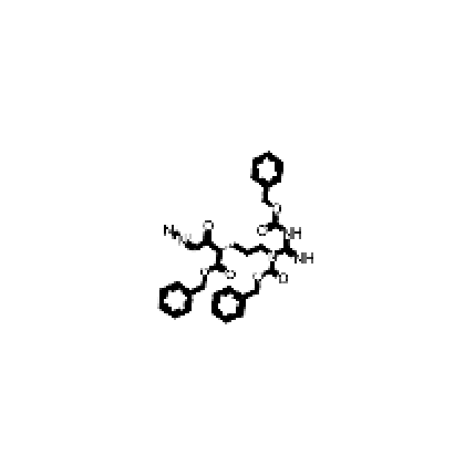 [N-]=[N+]=CC(=O)[C@H](CCCN(C(=N)NC(=O)OCc1ccccc1)C(=O)OCc1ccccc1)C(=O)OCc1ccccc1